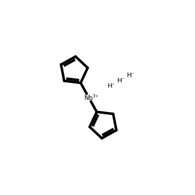 C1=CC[C]([Nb+3][C]2=CC=CC2)=C1.[H-].[H-].[H-]